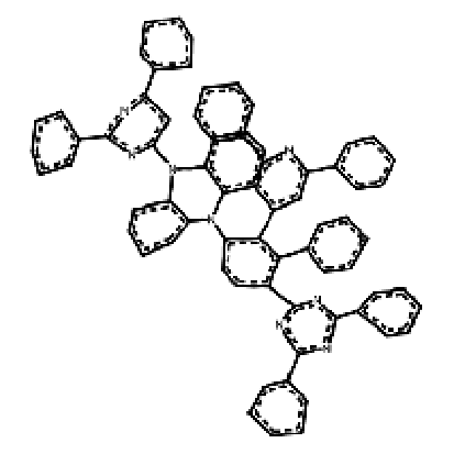 c1ccc(-c2cc(-c3c(N4c5ccccc5N(c5cc(-c6ccccc6)nc(-c6ccccc6)n5)c5ccccc54)ccc(-c4nc(-c5ccccc5)nc(-c5ccccc5)n4)c3-c3ccccc3)nc(-c3ccccc3)n2)cc1